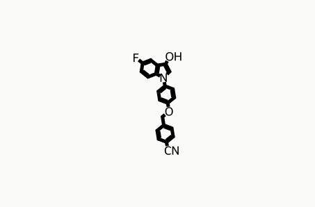 N#Cc1ccc(COc2ccc(-n3cc(O)c4cc(F)ccc43)cc2)cc1